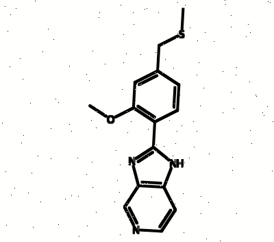 COc1cc(CSC)ccc1-c1nc2cnccc2[nH]1